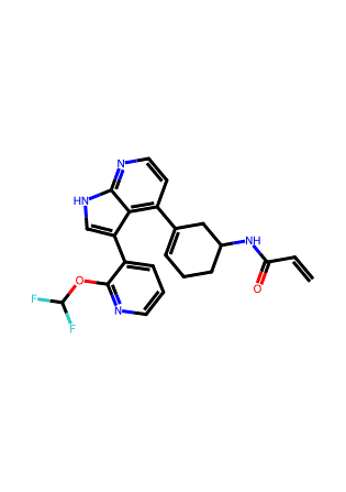 C=CC(=O)NC1CCC=C(c2ccnc3[nH]cc(-c4cccnc4OC(F)F)c23)C1